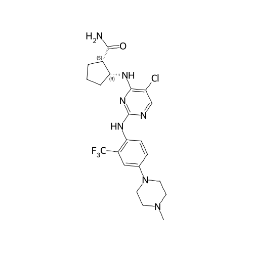 CN1CCN(c2ccc(Nc3ncc(Cl)c(N[C@@H]4CCC[C@@H]4C(N)=O)n3)c(C(F)(F)F)c2)CC1